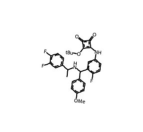 COc1ccc(C(NC(C)c2ccc(F)c(F)c2)c2cc(Nc3c(OC(C)(C)C)c(=O)c3=O)ccc2F)cc1